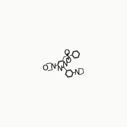 O=S(=O)(Cc1cc(N2CCOCC2)nc(-c2cccc(N3CCCC3)c2)n1)c1ccccc1